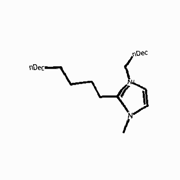 CCCCCCCCCCCCCCc1n(C)cc[n+]1CCCCCCCCCCC